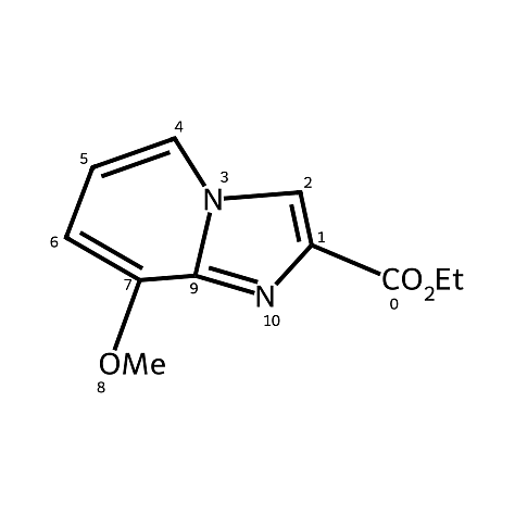 CCOC(=O)c1cn2cccc(OC)c2n1